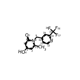 Cc1cc(O)cc(=O)n1Cc1ccnc(C(F)(F)F)c1